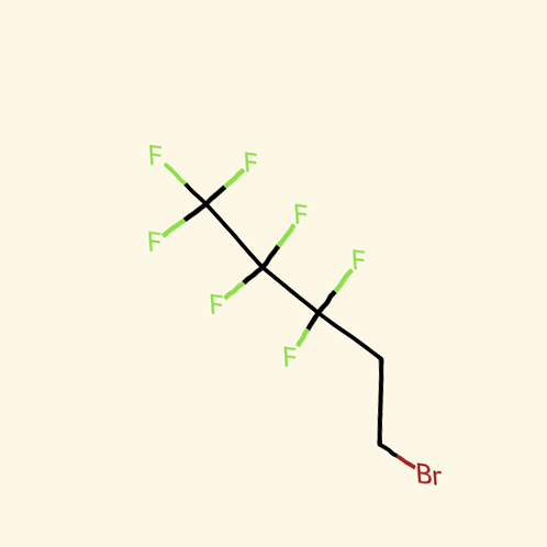 FC(F)(F)C(F)(F)C(F)(F)CCBr